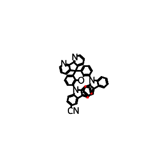 N#Cc1ccc2c(c1)c1ccccc1n2-c1cccc2c1Oc1c(-n3c4ccccc4c4ccccc43)cccc1C21c2cccnc2-c2ncccc21